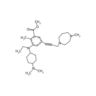 CCN(c1cc(C#CCN2CCCN(C)CC2)cc(C(=O)OC)c1C)C1CCC(N(C)C)CC1